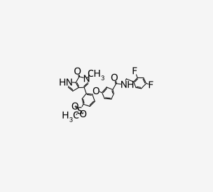 Cn1cc(-c2cc(S(C)(=O)=O)ccc2Oc2cccc(C(=O)NCc3ccc(F)cc3F)c2)c2cc[nH]c2c1=O